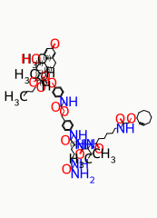 CCCC1O[C@@H]2CC3[C@@H]4CCC5=CC(=O)C=C[C@]5(C)C4[C@@H](O)C[C@]3(C)[C@]2(C(=O)COc2ccc(NC(=O)OCc3ccc(NC(=O)[C@H](CCCNC(N)=O)NC(=O)C(NC(=O)CCCCCNC(=O)COC4C#CCCCCC4)C(C)C)cc3)cc2)O1